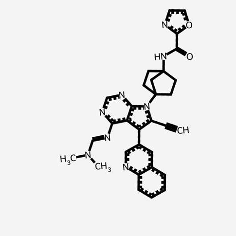 C#Cc1c(-c2cnc3ccccc3c2)c2c(N=CN(C)C)ncnc2n1C12CCC(NC(=O)c3ncco3)(CC1)C2